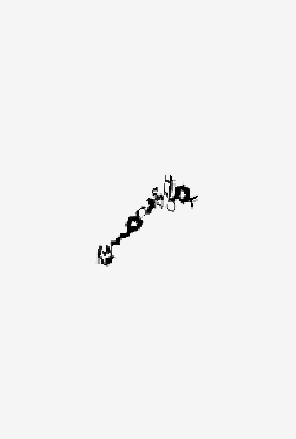 O=C(Nc1nc(COc2ccc(CCCCn3ccnn3)cc2)cs1)c1cc(F)ccc1F